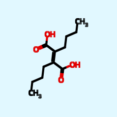 CCCCC(C(=O)O)=C(CCCC)C(=O)O